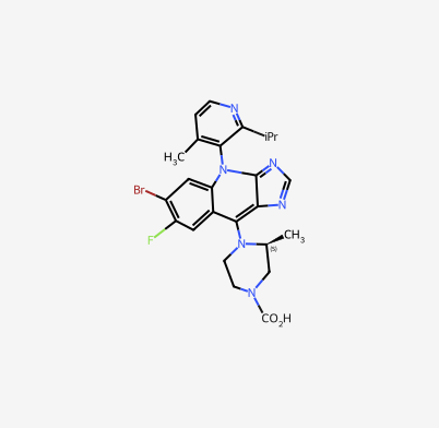 Cc1ccnc(C(C)C)c1-n1c2ncnc-2c(N2CCN(C(=O)O)C[C@@H]2C)c2cc(F)c(Br)cc21